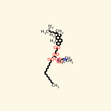 CCCCCCCC/C=C\CCCCCCCC(=O)OC[C@H](COP(O)OCC[N+](C)(C)C)OC(=O)CCC(=O)OC1CCC2(C)C(=CCC3C2CCC2(C)C3CC[C@H]2[C@@H](C)CCCC(C)C)C1